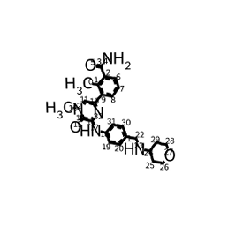 Cc1c(C(N)=O)cccc1-c1cn(C)c(=O)c(Nc2ccc(CNC3CCOCC3)cc2)n1